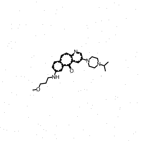 COCCCNc1ccc2ccc3ncc(N4CCN(C(C)C)CC4)cc3c(=O)c2c1